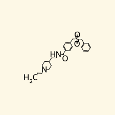 C=CCN1CCC(CCNC(=O)c2ccc(CS(=O)(=O)Cc3ccccc3)cc2)CC1